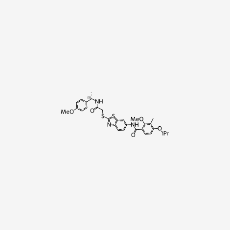 COc1ccc([C@H](C)NC(=O)CSc2nc3ccc(NC(=O)c4ccc(OC(C)C)c(C)c4OC)cc3s2)cc1